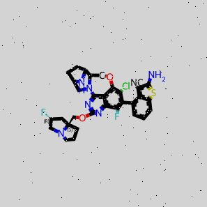 N#Cc1c(N)sc2cccc(-c3c(Cl)c4c5c(nc(OC[C@@]67CCCN6C[C@H](F)C7)nc5c3F)N3CC5CCC(N5)C3CO4)c12